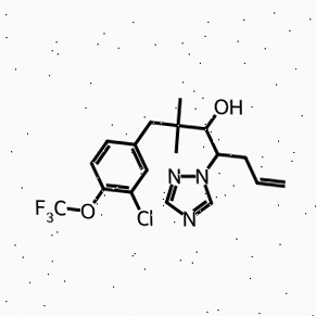 C=CCC(C(O)C(C)(C)Cc1ccc(OC(F)(F)F)c(Cl)c1)n1cncn1